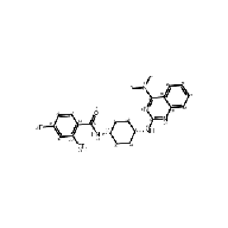 CN(C)c1nc(N[C@H]2CC[C@@H](NC(=O)c3ccc(F)cc3C(F)(F)F)CC2)nc2ccccc12